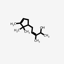 CC(=CCC1CC=C(C)C1(C)C)C(C)O